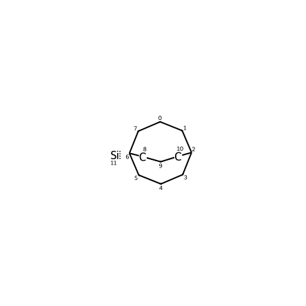 C1CC2CCCC(C1)CCC2.[Si]